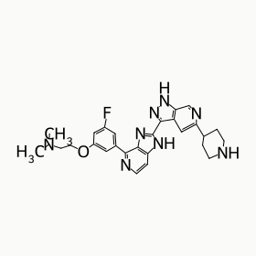 CN(C)CCOc1cc(F)cc(-c2nccc3[nH]c(-c4n[nH]c5cnc(C6CCNCC6)cc45)nc23)c1